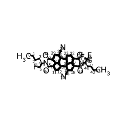 CCCC[C@H](CF)N1C(=O)c2ccc3c4c(C#N)cc5c6c(ccc(c7c(C#N)cc(c2c37)C1=O)c64)C(=O)N([C@H](CCCC)C(F)(F)F)C5=O